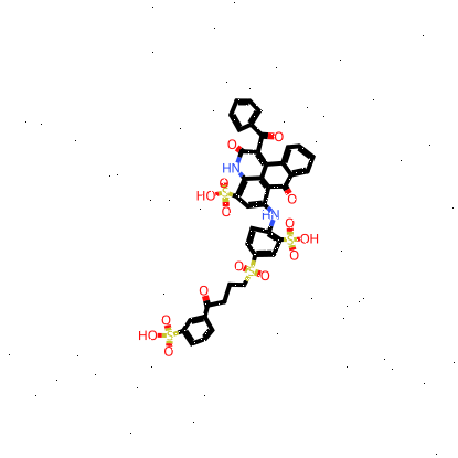 O=C(CCCS(=O)(=O)c1ccc(Nc2cc(S(=O)(=O)O)c3[nH]c(=O)c(C(=O)c4ccccc4)c4c3c2C(=O)c2ccccc2-4)c(S(=O)(=O)O)c1)c1cccc(S(=O)(=O)O)c1